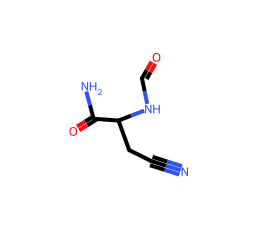 N#CCC(NC=O)C(N)=O